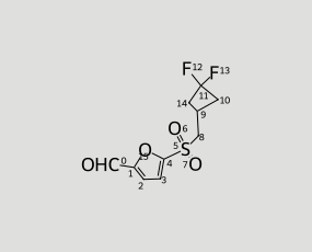 O=Cc1ccc(S(=O)(=O)CC2CC(F)(F)C2)o1